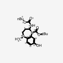 CCCCOC(=O)NC1CCN(C)c2ccc(O)cc2N1C(=O)OC(C)(C)C